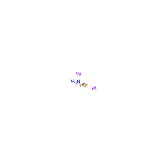 Br.I.I.N